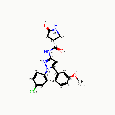 O=C1C[C@@H](C(=O)Nc2cc(-c3cccc(OC(F)(F)F)c3)n(-c3ccc(Cl)cc3)n2)CN1